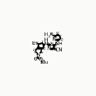 CCc1cc(Nc2ncc(C#N)c(Nc3cccc(N)n3)n2)cc2c1CCN(C(=O)OC(C)(C)C)C2